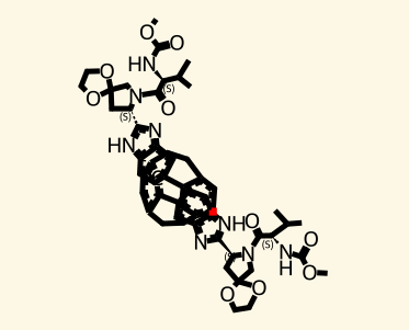 COC(=O)N[C@H](C(=O)N1CC2(C[C@H]1c1nc3cc(-c4cc5ccc4CCc4ccc(c(-c6ccc7[nH]c([C@@H]8CC9(CN8C(=O)[C@@H](NC(=O)OC)C(C)C)OCCO9)nc7c6)c4)CC5)ccc3[nH]1)OCCO2)C(C)C